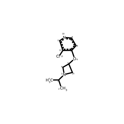 CC(C)N1CC(Oc2ccncc2Cl)C1